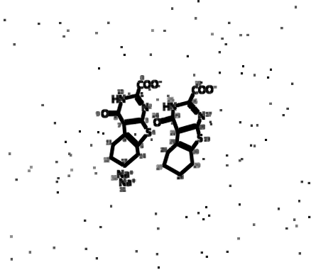 O=C([O-])c1nc2sc3c(c2c(=O)[nH]1)CCCC3.O=C([O-])c1nc2sc3c(c2c(=O)[nH]1)CCCC3.[Na+].[Na+]